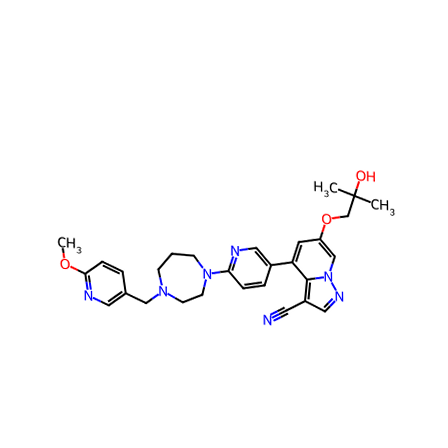 COc1ccc(CN2CCCN(c3ccc(-c4cc(OCC(C)(C)O)cn5ncc(C#N)c45)cn3)CC2)cn1